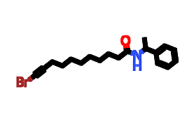 CC(NC(=O)CCCCCCCCC#CBr)c1ccccc1